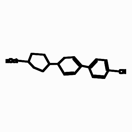 CCCCCCCCC1CCC(C2C=CC(c3ccc(C#N)cc3)=CC2)CC1